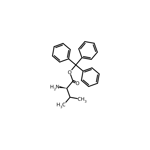 CC(C)[C@@H](N)C(=O)OC(c1ccccc1)(c1ccccc1)c1ccccc1